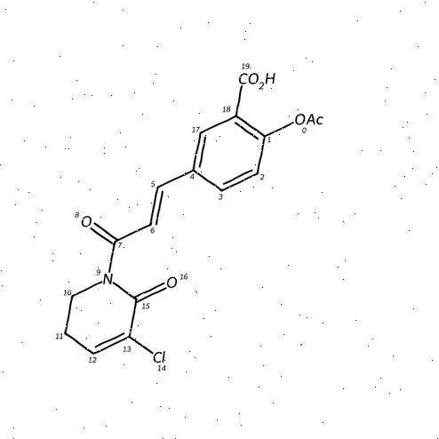 CC(=O)Oc1ccc(/C=C/C(=O)N2CCC=C(Cl)C2=O)cc1C(=O)O